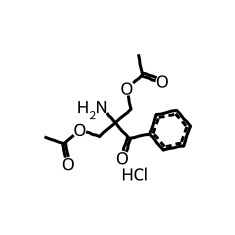 CC(=O)OCC(N)(COC(C)=O)C(=O)c1ccccc1.Cl